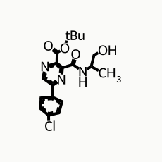 CC(CO)NC(=O)c1nc(-c2ccc(Cl)cc2)cnc1C(=O)OC(C)(C)C